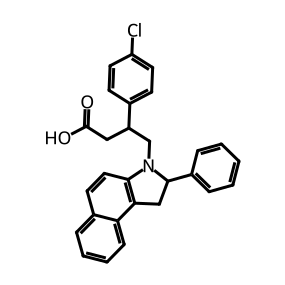 O=C(O)CC(CN1c2ccc3ccccc3c2CC1c1ccccc1)c1ccc(Cl)cc1